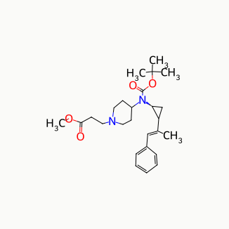 COC(=O)CCN1CCC(N(C(=O)OC(C)(C)C)[C@H]2CC2C(C)=Cc2ccccc2)CC1